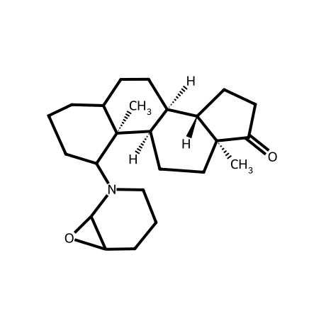 C[C@@]12C(CCCC1N1CCCC3OC31)CC[C@@H]1[C@H]2CC[C@]2(C)C(=O)CC[C@@H]12